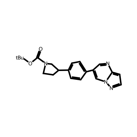 CC(C)(C)OC(=O)N1CCC(c2ccc(-c3cnc4ccnn4c3)cc2)C1